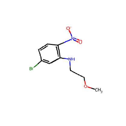 COCCNc1cc(Br)ccc1[N+](=O)[O-]